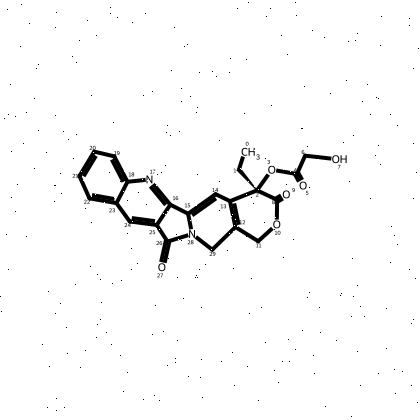 CC[C@@]1(OC(=O)CO)C(=O)OCC2=C1C=C1c3nc4ccccc4cc3C(=O)N1C2